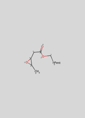 CCCCCCOC(=O)CC1OC1C